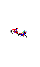 CC(C)(C)[C@H](NC(=O)COCCOc1ccc(-c2ncc(N3C(=S)N(c4ccc(C#N)c(C(F)(F)F)c4F)C(=O)C3(C)C)cc2F)cc1F)C(=O)N1C[C@H](O)C[C@H]1C(=O)NCc1ccccc1